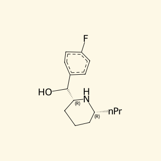 CCC[C@@H]1CCC[C@H](C(O)c2ccc(F)cc2)N1